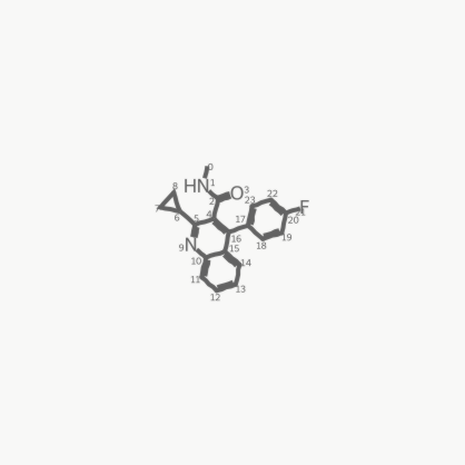 CNC(=O)c1c(C2CC2)nc2ccccc2c1-c1ccc(F)cc1